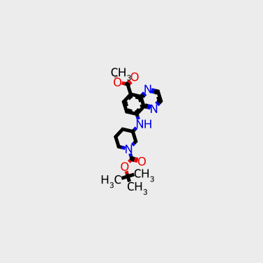 COC(=O)c1ccc(NC2CCCN(C(=O)OC(C)(C)C)C2)c2nccnc12